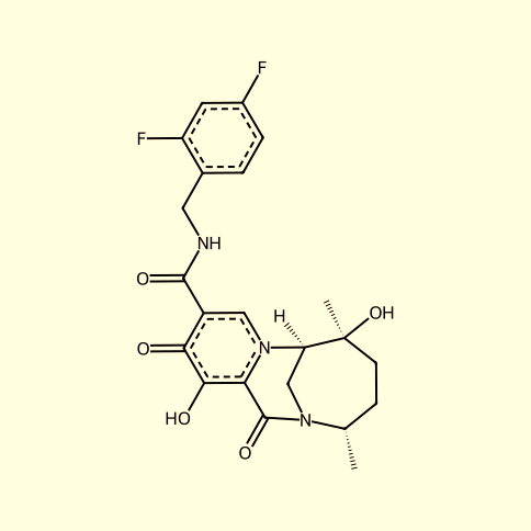 C[C@H]1CC[C@](C)(O)[C@H]2CN1C(=O)c1c(O)c(=O)c(C(=O)NCc3ccc(F)cc3F)cn12